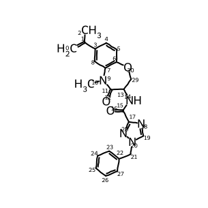 C=C(C)c1ccc2c(c1)N(C)C(=O)C(NC(=O)c1ncn(Cc3ccccc3)n1)CO2